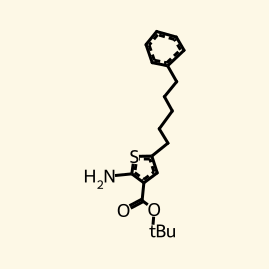 CC(C)(C)OC(=O)c1cc(CCCCCc2ccccc2)sc1N